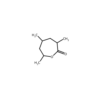 CC1CC(C)OC(=O)C(C)C1